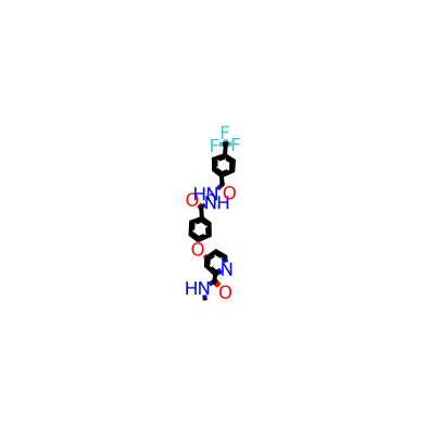 CNC(=O)c1cc(Oc2ccc(C(=O)NNC(=O)c3ccc(C(F)(F)F)cc3)cc2)ccn1